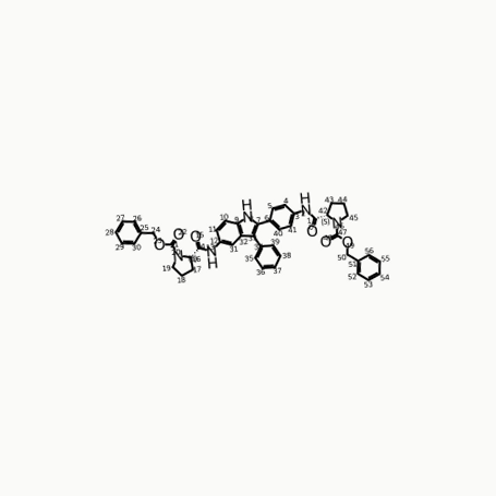 O=C(Nc1ccc(-c2[nH]c3ccc(NC(=O)[C@@H]4CCCN4C(=O)OCc4ccccc4)cc3c2-c2ccccc2)cc1)[C@@H]1CCCN1C(=O)OCc1ccccc1